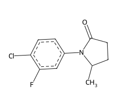 CC1CCC(=O)N1c1ccc(Cl)c(F)c1